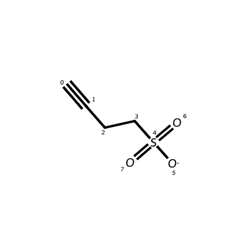 C#CCCS([O])(=O)=O